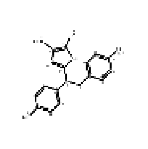 N#Cc1ccc(N(Cc2ccc(C(F)(F)F)cc2)c2nc(C=O)c(Br)s2)cc1